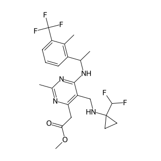 COC(=O)Cc1nc(C)nc(NC(C)c2cccc(C(F)(F)F)c2C)c1CNC1(C(F)F)CC1